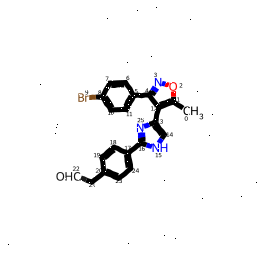 Cc1onc(-c2ccc(Br)cc2)c1-c1c[nH]c(-c2ccc(CC=O)cc2)n1